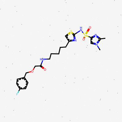 Cc1nc(S(=O)(=O)Nc2nc(CCCCCNC(=O)COCc3ccc(F)cc3)cs2)cn1C